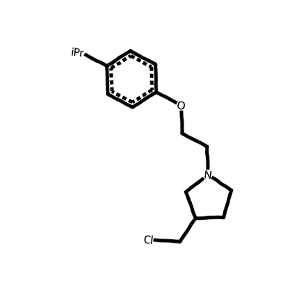 CC(C)c1ccc(OCCN2CCC(CCl)C2)cc1